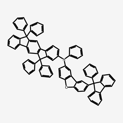 c1ccc(N(c2ccc3c(c2)C(c2ccccc2)(c2ccccc2)c2cc4c(cc2-3)C(c2ccccc2)(c2ccccc2)c2ccccc2-4)c2ccc3oc4ccc(C5(c6ccccc6)c6ccccc6-c6ccccc65)cc4c3c2)cc1